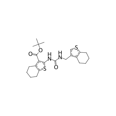 CC(C)(C)OC(=O)c1c(NC(=O)NCc2csc3c2CCCC3)sc2c1CCCC2